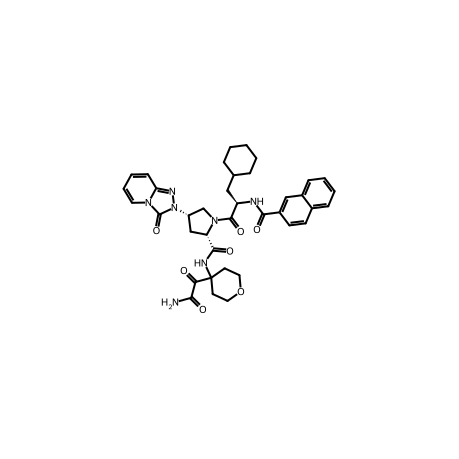 NC(=O)C(=O)C1(NC(=O)[C@@H]2C[C@H](n3nc4ccccn4c3=O)CN2C(=O)[C@@H](CC2CCCCC2)NC(=O)c2ccc3ccccc3c2)CCOCC1